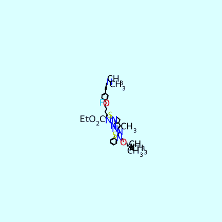 CCOC(=O)c1nc(N2CCc3c2nnc(/N=c2\sc4ccccc4n2COCC[Si](C)(C)C)c3C)sc1CCCOC1(F)C=CC(C#CCN(C)C)=CC1